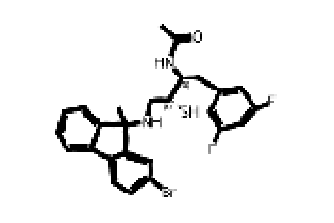 CC(=O)N[C@@H](Cc1cc(F)cc(F)c1)[C@H](S)CNC1(C)c2ccccc2-c2ccc(Br)cc21